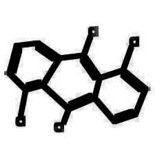 Clc1[c]ccc2c(Cl)c3c(Cl)[c]ccc3c(Cl)c12